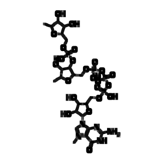 COC1C(C)OC(COP(=O)(O)OP(=O)(O)OP(=O)(O)OCC2OC(n3c[n+](C)c4c(=O)[nH]c(N)nc43)C(O)C2O)C1OP(=O)(O)OCC1OC(C)C(O)C1O